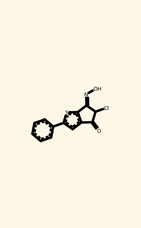 O=C1c2cc(-c3ccccc3)sc2C(=NO)C1Cl